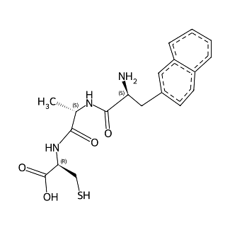 C[C@H](NC(=O)[C@@H](N)Cc1ccc2ccccc2c1)C(=O)N[C@@H](CS)C(=O)O